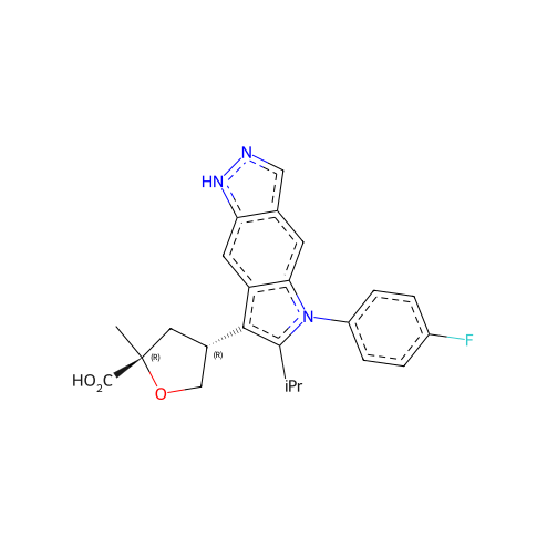 CC(C)c1c([C@@H]2CO[C@@](C)(C(=O)O)C2)c2cc3[nH]ncc3cc2n1-c1ccc(F)cc1